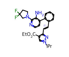 CCOC(=O)c1cn(C(C)C)nc1/C=C/c1ccccc1-c1ccnc(N2CCC(F)(F)C2)c1N